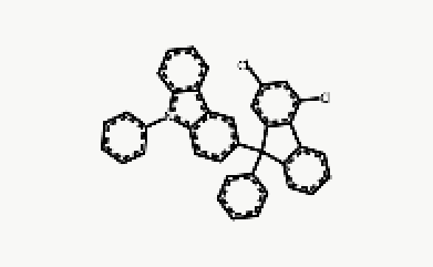 Clc1cc(Cl)c2c(c1)C(c1ccccc1)(c1ccc3c(c1)c1ccccc1n3-c1ccccc1)c1ccccc1-2